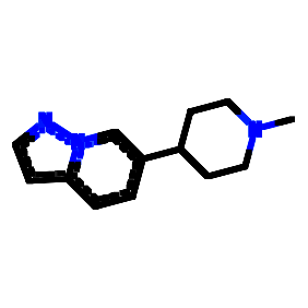 CN1CCC(c2ccc3ccnn3c2)CC1